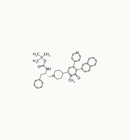 Cn1c(C2CCN(C[C@H](Cc3ccccc3)NC(=O)OC(C)(C)C)CC2)cc(-c2ccncc2)c(-c2ccc3ccccc3c2)c1=O